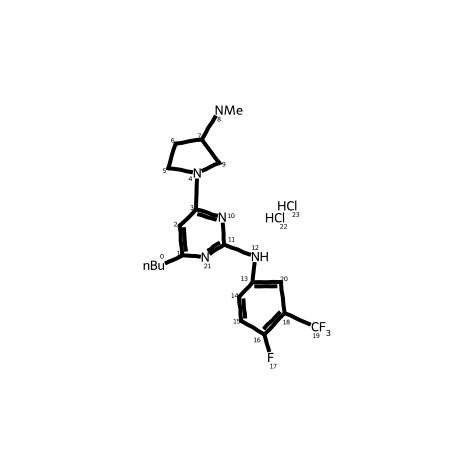 CCCCc1cc(N2CCC(NC)C2)nc(Nc2ccc(F)c(C(F)(F)F)c2)n1.Cl.Cl